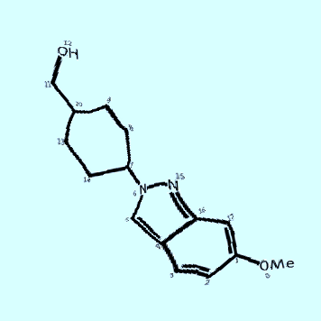 COc1ccc2cn(C3CCC(CO)CC3)nc2c1